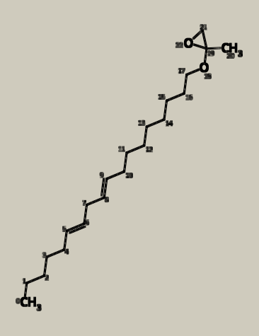 CCCCCC=CCC=CCCCCCCCCOC1(C)CO1